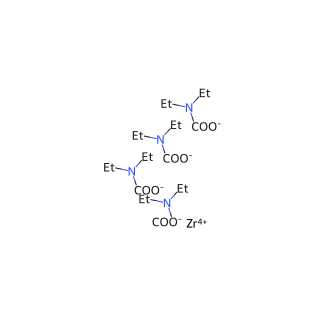 CCN(CC)C(=O)[O-].CCN(CC)C(=O)[O-].CCN(CC)C(=O)[O-].CCN(CC)C(=O)[O-].[Zr+4]